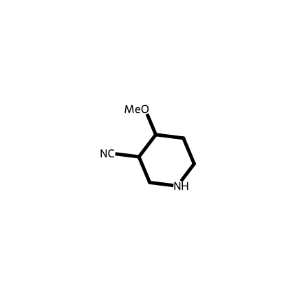 COC1CCNCC1C#N